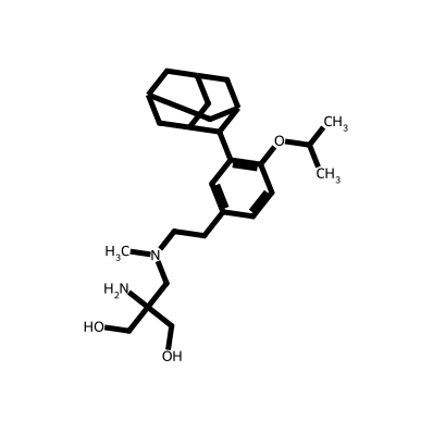 CC(C)Oc1ccc(CCN(C)CC(N)(CO)CO)cc1C1C2CC3CC(C2)CC1C3